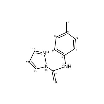 C=C(Nc1ccc(C)cc1)n1cccn1